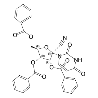 N#C[C@@]1(n2ccc(=O)[nH]c2=O)O[C@H](COC(=O)c2ccccc2)[C@@H](OC(=O)c2ccccc2)[C@H]1OC(=O)c1ccccc1